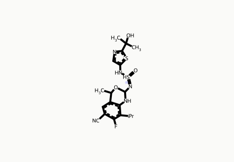 CC(C)c1c(F)c(C#N)cc2c1NC(/N=[SH](=O)\Nc1cnc(C(C)(C)O)s1)OC2C